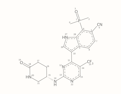 CP(C)(=O)c1c(C#N)ccc2c(-c3nc(N[C@H]4CCC(=O)NC4)ncc3C(F)(F)F)c[nH]c12